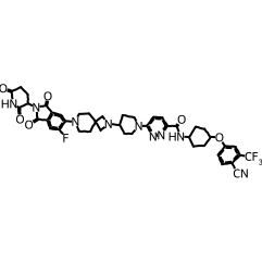 N#Cc1ccc(OC2CCC(NC(=O)c3ccc(N4CCC(N5CC6(CCN(c7cc8c(cc7F)C(=O)N(C7CCC(=O)NC7=O)C8=O)CC6)C5)CC4)nn3)CC2)cc1C(F)(F)F